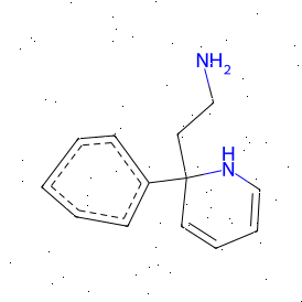 NCCC1(c2ccccc2)C=CC=CN1